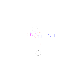 O=[N+]([O-])c1ccccc1S(=O)(=O)N(CCOCc1ccccc1)C1CCNCC1